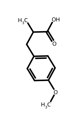 COc1ccc(CC(C)C(=O)O)cc1